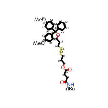 CCCCNC(=O)CCC(=O)OCCCSSCCCOC(c1ccccc1)(c1ccc(OC)cc1)c1ccc(OC)cc1